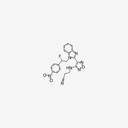 N#CCCNc1nonc1-c1nc2ccccc2n1CC(F)c1ccc([N+](=O)[O-])cc1